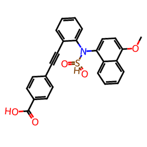 COc1ccc(N(c2ccccc2C#Cc2ccc(C(=O)O)cc2)[SH](=O)=O)c2ccccc12